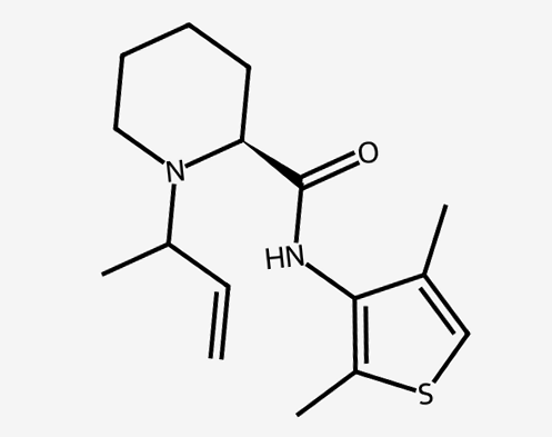 C=CC(C)N1CCCC[C@H]1C(=O)Nc1c(C)csc1C